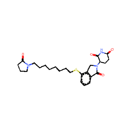 O=C1CCC(N2Cc3c(SCCCCCCCCN4CCCC4=O)cccc3C2=O)C(=O)N1